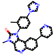 Cc1cc(-n2ccnc2)ccc1-n1c(=O)n(C)c2cnc3ccc(-c4cccnc4)cc3c21